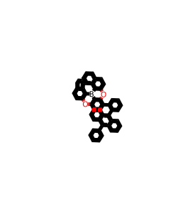 c1ccc(-c2c3ccccc3c(-c3ccccc3-c3ccc4c5c3Oc3ccc6ccccc6c3B5c3c(ccc5ccccc35)O4)c3ccccc23)cc1